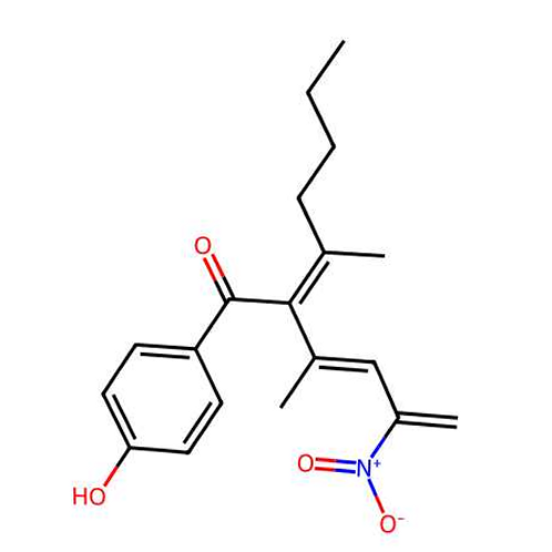 C=C(/C=C(C)/C(C(=O)c1ccc(O)cc1)=C(\C)CCCC)[N+](=O)[O-]